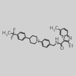 CCc1nc2ccc(C)cn2c1C(=O)NCc1ccc(N2CCC(c3ccc(C(C)(F)F)cc3)CC2)cc1